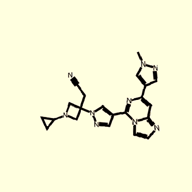 Cn1cc(-c2cc3nccn3c(-c3cnn(C4(CC#N)CN(C5CC5)C4)c3)n2)cn1